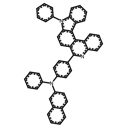 c1ccc(N(c2ccc(-c3nc4ccccc4c4c3ccc3c4c4ccccc4n3-c3ccccc3)cc2)c2ccc3ccccc3c2)cc1